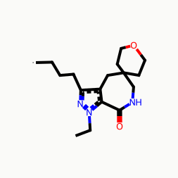 [CH2]CCCc1nn(CC)c2c1CC1(CCOCC1)CNC2=O